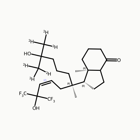 [2H]C([2H])([2H])C(O)(CCC[C@](C)(C/C=C\C(O)(C(F)(F)F)C(F)(F)F)[C@H]1CCC2C(=O)CCC[C@@]21C)C([2H])([2H])[2H]